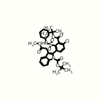 COC(=O)Cc1c(-c2ccc(Cl)c(C(=O)OC(C)(C)C)c2S(=O)(=O)NC2CCCCC2)n(C(=O)OC(C)(C)C)c2ccccc12